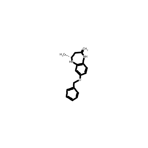 C=C1C[C@@H](C)Nc2cc(OCc3ccccc3)ccc2N1